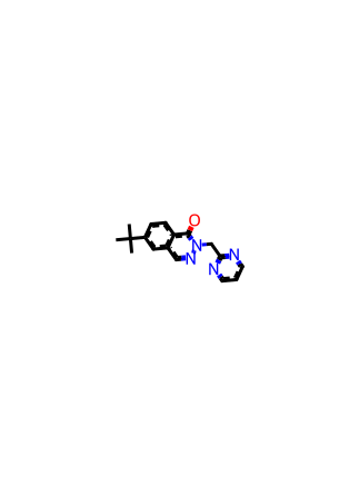 CC(C)(C)c1ccc2c(=O)n(Cc3ncccn3)ncc2c1